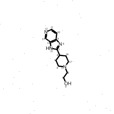 OCCN1CCC(c2nc3ccncc3[nH]2)CC1